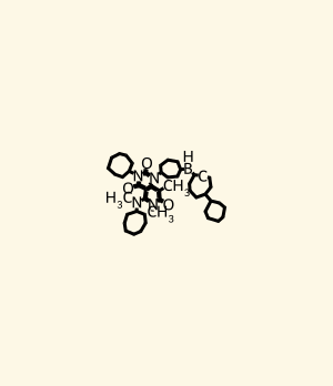 Cc1c(=O)n(C)c(N(C)C2CCCCCCC2)c2c(=O)n(C3CCCCCCC3)c(=O)n(C3CCCC(BC4CCCC(C5CCCCCC5)CCC4)CC3)c12